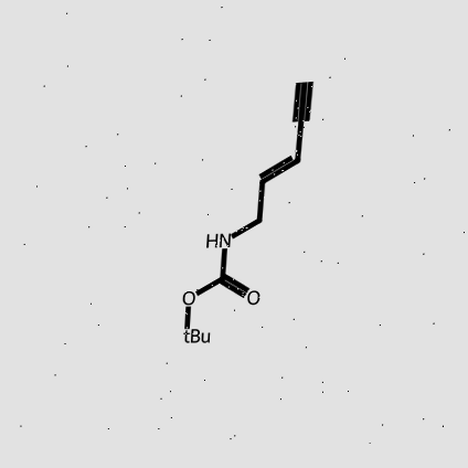 C#CC=CCNC(=O)OC(C)(C)C